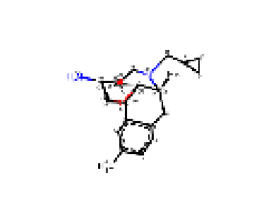 Cc1ccc2c(c1)[C@]13CCN(CC4CC4)[C@H](C2)[C@]12CC[C@@](N)(CO2)C3